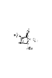 C[C@@H]1N[C@@H](C(C)(C)C)N(C)C1=O